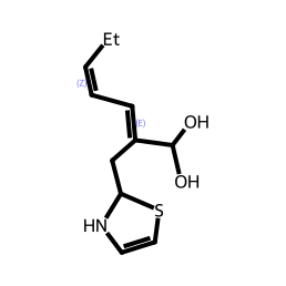 CC/C=C\C=C(/CC1NC=CS1)C(O)O